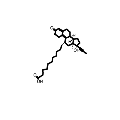 CC#C[C@]1(O)CC[C@H]2[C@@H]3CCC4=CC(=O)CCC4=C3[C@@H](CCCCCCCCCCC(=O)O)C[C@@]21C